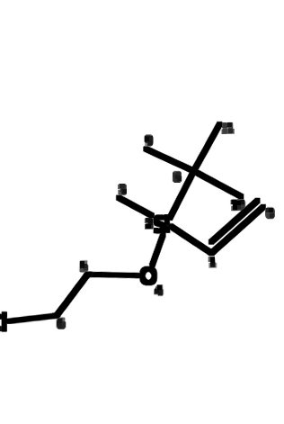 C=C[Si](C)(OCCCl)C(C)(C)C